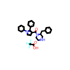 O=C(O)C(F)(F)F.O=C(c1ccn(-c2ccccc2)c1-c1ccccc1)N1CCNCC1Cc1ccccc1